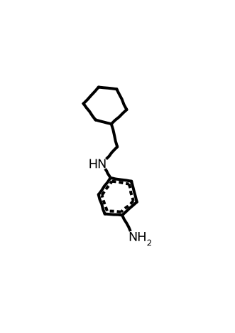 Nc1ccc(NCC2CCCCC2)cc1